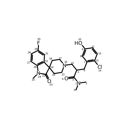 CN(C)C(=O)C(Cc1cc(O)ccc1Cl)CN1CCC2(CC1)C(=O)N(C)c1ccc(F)cc12